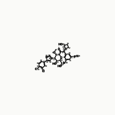 COC1C(C(=O)N(c2cc(Br)cc(C#N)c2)[C@@H]2CC[C@H]2O)OC(CO)C(O)C1n1cc(-c2ccc(Cl)c(Cl)c2)nn1